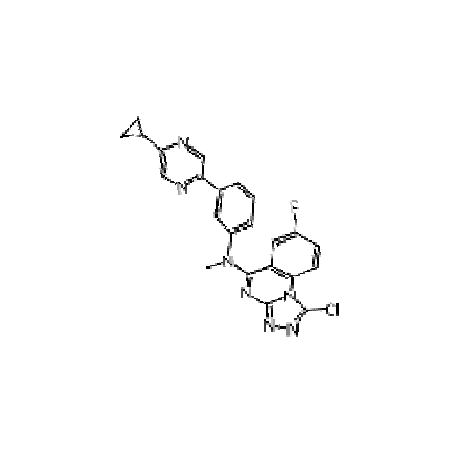 CN(c1cccc(-c2cnc(C3CC3)cn2)c1)c1nc2nnc(Cl)n2c2ccc(F)cc12